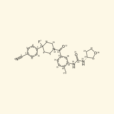 N#Cc1ccc(C2(F)CCN(C(=O)c3ccc(I)c(NC(=O)N[C@@H]4CCOC4)c3)CC2)cc1